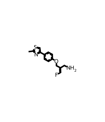 Cc1nc(-c2ccc(OC/C(=C\F)CN)cc2)cs1